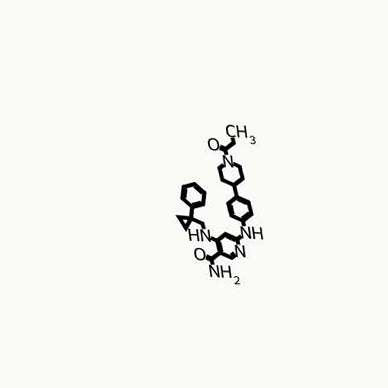 CCC(=O)N1CCC(c2ccc(Nc3cc(NCC4(c5ccccc5)CC4)c(C(N)=O)cn3)cc2)CC1